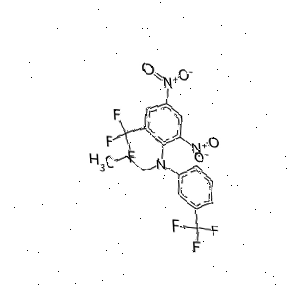 CCCN(c1cccc(C(F)(F)F)c1)c1c([N+](=O)[O-])cc([N+](=O)[O-])cc1C(F)(F)F